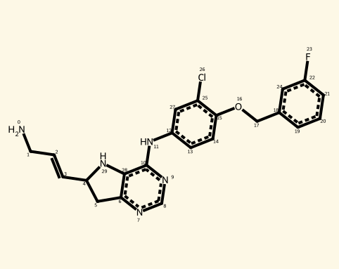 NC/C=C/C1Cc2ncnc(Nc3ccc(OCc4cccc(F)c4)c(Cl)c3)c2N1